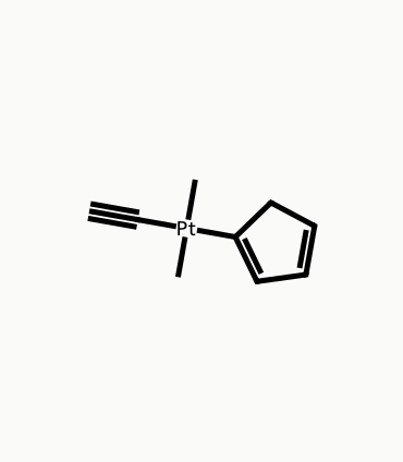 C#[C][Pt]([CH3])([CH3])[C]1=CC=CC1